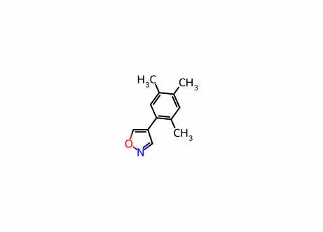 Cc1cc(C)c(-c2cnoc2)cc1C